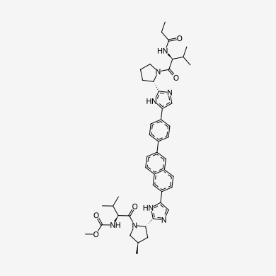 CCC(=O)N[C@H](C(=O)N1CCC[C@H]1c1ncc(-c2ccc(-c3ccc4cc(-c5cnc([C@@H]6C[C@@H](C)CN6C(=O)[C@@H](NC(=O)OC)C(C)C)[nH]5)ccc4c3)cc2)[nH]1)C(C)C